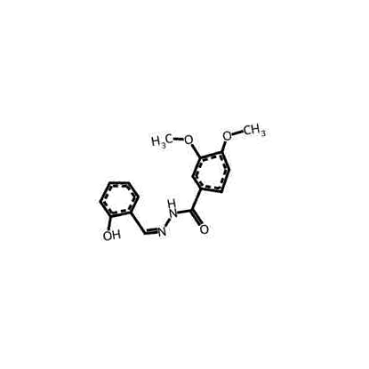 COc1ccc(C(=O)N/N=C\c2ccccc2O)cc1OC